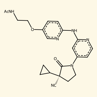 CC(=O)NCCOc1ccc(Nc2cc(N3CC[C@@](C#N)(C4CC4)C3=O)ccn2)nc1